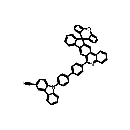 N#Cc1ccc2c(c1)c1ccccc1n2-c1ccc(-c2ccc(-c3nc4ccccc4c4cc5c(cc34)-c3ccccc3C53c4ccccc4Oc4ccccc43)cc2)cc1